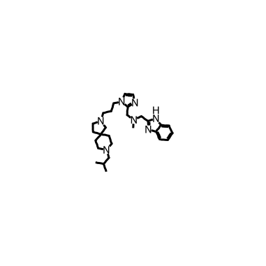 CC(C)CN1CCC2(CC1)CCN(CCCn1ccnc1CN(C)Cc1nc3ccccc3[nH]1)C2